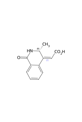 C[C@H]1NC(=O)c2ccccc2/C1=C/C(=O)O